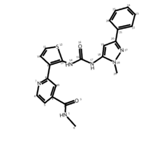 CNC(=O)c1ccnc(-c2ccsc2NC(=O)Nc2cc(-c3ccccc3)nn2C)c1